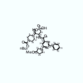 CCCCOC(=O)N1CCN(C(=O)C(CP(=O)(O)O)NC(=O)c2cc(N3CCC(OC)C3)nc(-c3ccccc3)n2)CC1